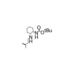 C=C(C)CCN[C@@H]1CCCC[C@H]1NC(=O)OC(C)(C)C